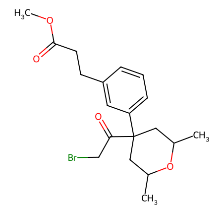 COC(=O)CCc1cccc(C2(C(=O)CBr)CC(C)OC(C)C2)c1